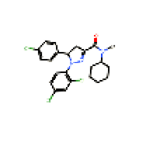 CCN(C(=O)C1=NN(c2ccc(Cl)cc2Cl)C(c2ccc(Cl)cc2)C1)C1CCCCC1